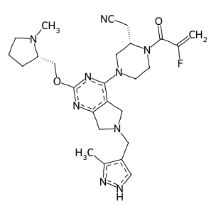 C=C(F)C(=O)N1CCN(c2nc(OC[C@@H]3CCCN3C)nc3c2CN(Cc2c[nH]nc2C)C3)C[C@@H]1CC#N